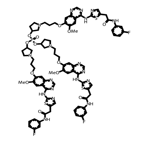 COc1cc2c(Nc3ncc(CC(=O)Nc4cccc(F)c4)s3)ncnc2cc1OCCCN1CCC(OP(=O)(OC2CCN(CCCOc3cc4ncnc(Nc5ncc(CC(=O)Nc6cccc(F)c6)s5)c4cc3OC)C2)OC2CCN(CCCOc3cc4ncnc(Nc5ncc(CC(=O)Nc6cccc(F)c6)s5)c4cc3OC)C2)C1